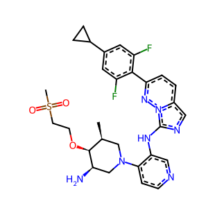 C[C@H]1CN(c2ccncc2Nc2ncc3ccc(-c4c(F)cc(C5CC5)cc4F)nn23)C[C@@H](N)[C@H]1OCCS(C)(=O)=O